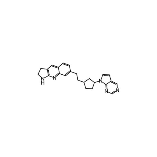 c1ncc2ccn(C3CCC(CCc4ccc5cc6c(nc5c4)NCC6)C3)c2n1